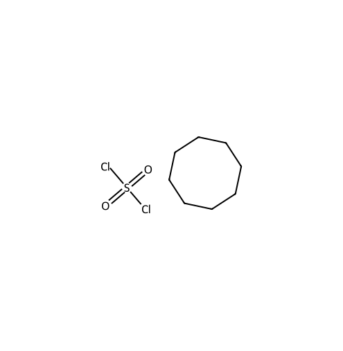 C1CCCCCCC1.O=S(=O)(Cl)Cl